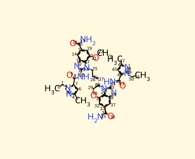 CCn1nc(C)cc1C(=O)Nc1nc2cc(C(N)=O)cc(OC)c2n1C/C=C/[C@H]1COc2cc(C(N)=O)cc3nc(NC(=O)c4cc(C)nn4CC)n1c23